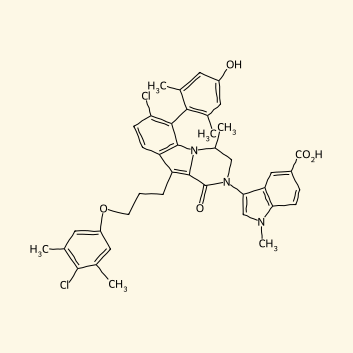 Cc1cc(OCCCc2c3n(c4c(-c5c(C)cc(O)cc5C)c(Cl)ccc24)C(C)CN(c2cn(C)c4ccc(C(=O)O)cc24)C3=O)cc(C)c1Cl